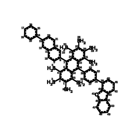 Bc1c(B)c(B)c2c(-c3ccc4cc(-c5ccccc5)ccc4c3)c3c(B)c(B)c(B)c(B)c3c(-c3ccc(-c4cccc5c4oc4ccccc45)cc3)c2c1B